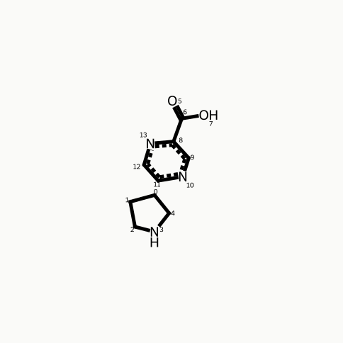 C1CCNC1.O=C(O)c1cnccn1